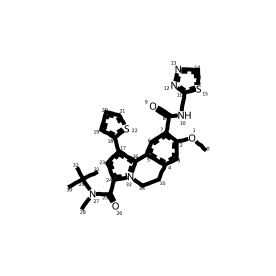 COc1cc2c(cc1C(=O)Nc1nncs1)-c1c(-c3cccs3)cc(C(=O)N(C)C(C)(C)C)n1CC2